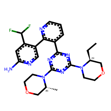 CC[C@H]1COCCN1c1nc(-c2cccnc2-c2cnc(N)cc2C(F)F)nc(N2CCOC[C@H]2C)n1